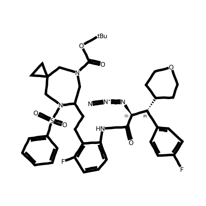 CC(C)(C)OC(=O)N1CC(CCc2c(F)cccc2NC(=O)[C@@H](N=[N+]=[N-])[C@@H](c2ccc(F)cc2)C2CCOCC2)N(S(=O)(=O)c2ccccc2)CC2(CC2)C1